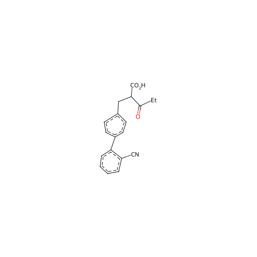 CCC(=O)C(Cc1ccc(-c2ccccc2C#N)cc1)C(=O)O